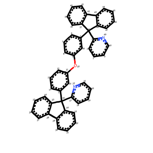 c1ccc(C2(c3cccc(Oc4cccc(C5(c6ccccn6)c6ccccc6-c6ccccc65)c4)c3)c3ccccc3-c3ccccc32)nc1